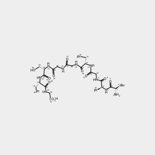 CC[C@H](C)[C@H](N)C(=O)N[C@H](C(=O)NCC(=O)N[C@@H](CC(C)C)C(=O)NCC(=O)NCC(=O)N[C@@H](CO)C(=O)N[C@@H](CC(C)C)C(=O)NCC(=O)O)C(C)C